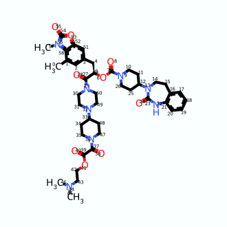 Cc1cc(C[C@@H](OC(=O)N2CCC(N3CCc4ccccc4NC3=O)CC2)C(=O)N2CCN(C3CCN(C(=O)C(=O)OCCN(C)C)CC3)CC2)cc2oc(=O)n(C)c12